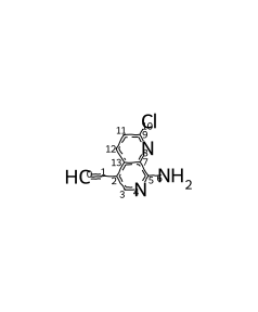 C#Cc1cnc(N)c2nc(Cl)ccc12